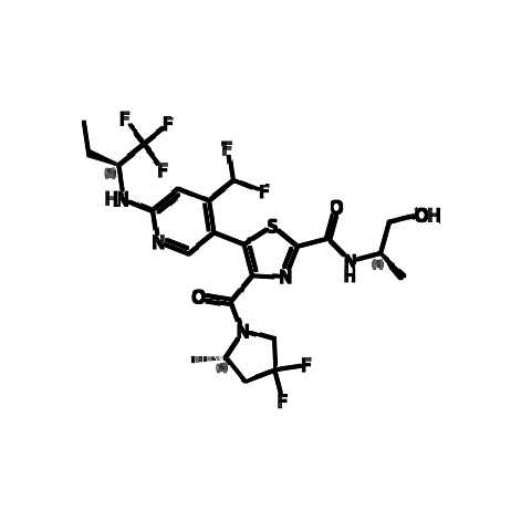 CC[C@H](Nc1cc(C(F)F)c(-c2sc(C(=O)N[C@H](C)CO)nc2C(=O)N2CC(F)(F)C[C@@H]2C)cn1)C(F)(F)F